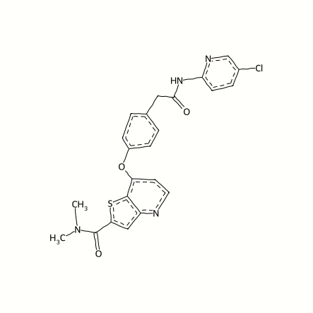 CN(C)C(=O)c1cc2nccc(Oc3ccc(CC(=O)Nc4ccc(Cl)cn4)cc3)c2s1